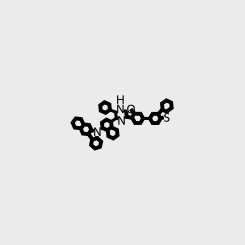 c1ccc(C2Nc3oc4cc(-c5ccc6sc7ccccc7c6c5)ccc4c3N=C2c2ccc(-n3c4ccccc4c4cc5ccccc5cc43)c3ccccc23)cc1